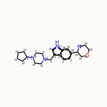 c1cc2c(CN3CCN(C4CCCC4)CC3)c[nH]c2cc1C1COCC[N]1